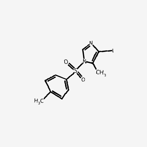 Cc1ccc(S(=O)(=O)n2cnc(I)c2C)cc1